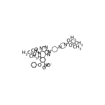 CC(C)(C)OC(=O)Nc1ncnc2c1c(-c1ccc(Oc3ccccc3)c([N+](=O)[O-])c1)nn2C1CCC(N2CCN(C(=O)OC(C)(C)C)CC2)CC1